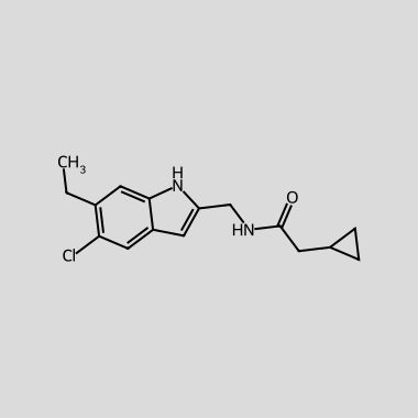 CCc1cc2[nH]c(CNC(=O)CC3CC3)cc2cc1Cl